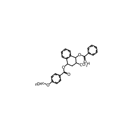 CCCCCCCCCCOc1ccc(C(=O)OC2CC(C(=O)O)C(OC(=O)c3ccccc3)c3ccccc32)cc1